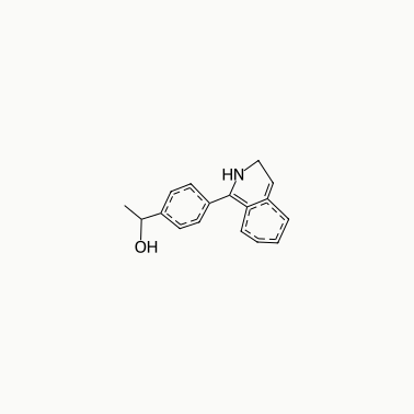 CC(O)c1ccc(C2=c3ccccc3=CCN2)cc1